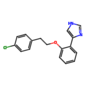 Clc1ccc(CCOc2ccccc2-c2c[nH]cn2)cc1